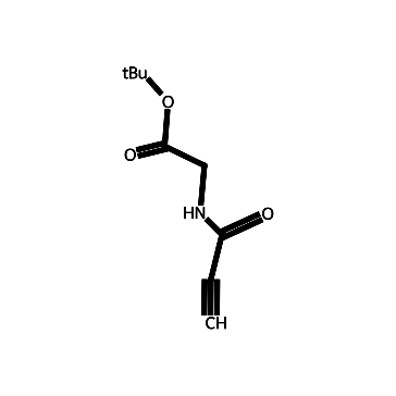 C#CC(=O)NCC(=O)OC(C)(C)C